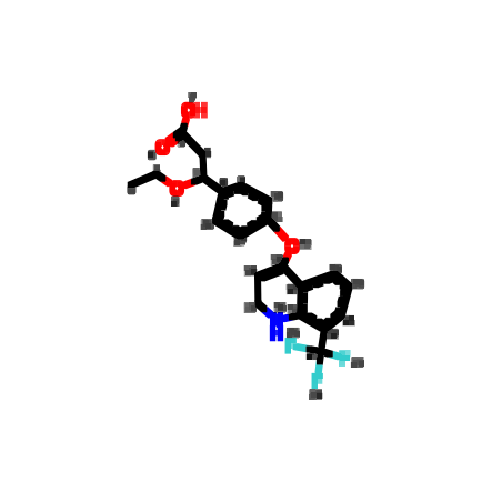 CCOC(CC(=O)O)c1ccc(OC2=CCNc3c2cccc3C(F)(F)F)cc1